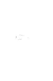 CCC(C)(C)CNC1C=CC=C(C)C=C1